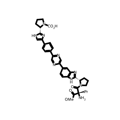 COC(=O)[C@@](N)(C(=O)N1CCC[C@H]1c1nc2cc(-c3cnc(-c4ccc(-c5c[nH]c([C@@H]6CCCN6C(=O)O)n5)cc4)cn3)ccc2[nH]1)C(C)C